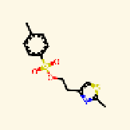 Cc1ccc(S(=O)(=O)OCCc2csc(C)n2)cc1